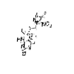 Cc1nn(CCCC(C)Nc2nc(Cl)ncc2C(F)(F)F)c([N+](=O)[O-])c1C